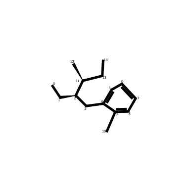 CC[C@H](Cc1ccccc1C)[C@@H](C)CC